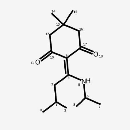 CC(C)CC(NC(C)C)=C1C(=O)CC(C)(C)CC1=O